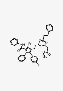 CC(C)c1c(C(=O)Nc2ccccc2)c(-c2ccccc2)c(-c2ccc(F)cc2)n1CCC1CC(CC(=O)OC(C)(C)C)OB(CCc2ccccc2)O1